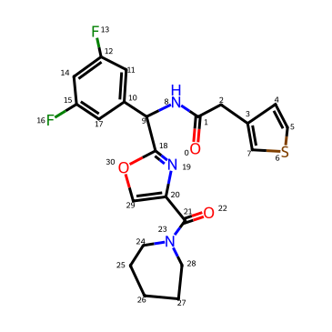 O=C(Cc1ccsc1)NC(c1cc(F)cc(F)c1)c1nc(C(=O)N2CCCCC2)co1